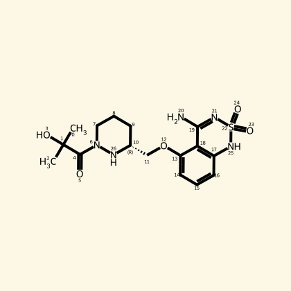 CC(C)(O)C(=O)N1CCC[C@H](COc2cccc3c2C(N)=NS(=O)(=O)N3)N1